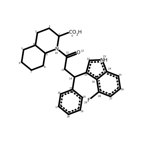 O=C(O)C1CCC2CCCCC2N1C(=O)CC(c1ccccc1)c1c[nH]c2cccc(F)c12